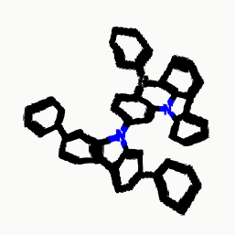 c1ccc(B2c3ccc(-n4c5cc(-c6ccccc6)ccc5c5ccc(-c6ccccc6)cc54)cc3-n3c4ccccc4c4cccc2c43)cc1